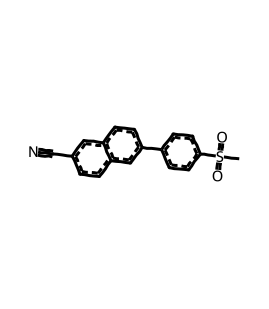 CS(=O)(=O)c1ccc(-c2ccc3cc(C#N)ccc3c2)cc1